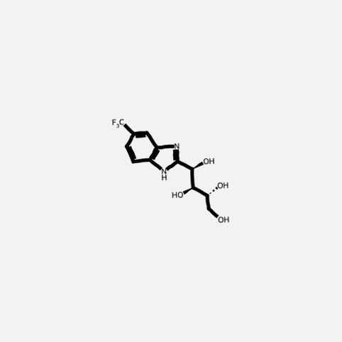 OC[C@@H](O)[C@@H](O)[C@H](O)c1nc2cc(C(F)(F)F)ccc2[nH]1